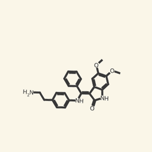 COc1cc2c(cc1OC)/C(=C(/Nc1ccc(CCN)cc1)c1ccccc1)C(=O)N2